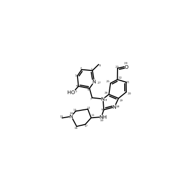 Cc1ccc(O)c(Cn2c(NC3CCN(C)CC3)nc3ccc(C=O)cc32)n1